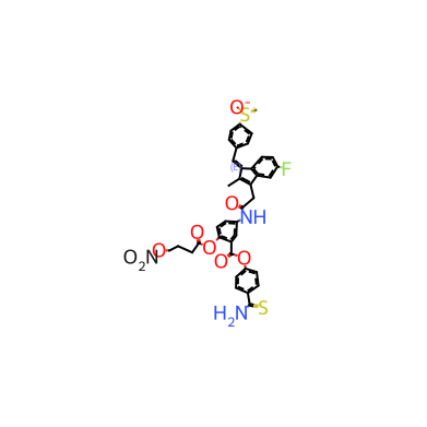 CC1=C(CC(=O)Nc2ccc(OC(=O)CCCO[N+](=O)[O-])c(C(=O)Oc3ccc(C(N)=S)cc3)c2)c2cc(F)ccc2/C1=C\c1ccc([S+](C)[O-])cc1